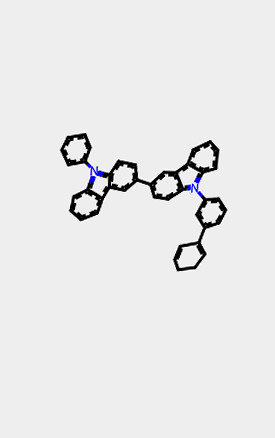 C1=CC(c2cccc(-n3c4ccccc4c4cc(-c5ccc6c(c5)c5ccccc5n6-c5ccccc5)ccc43)c2)=CCC1